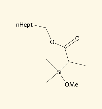 CCCCCCCCOC(=O)C(C)[Si](C)(C)OC